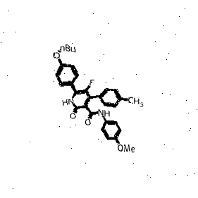 CCCCOc1ccc(-c2[nH]c(=O)c(C(=O)Nc3ccc(OC)cc3)c(-c3ccc(C)cc3)c2F)cc1